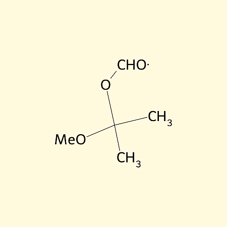 COC(C)(C)O[C]=O